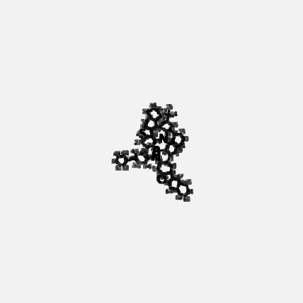 Cc1cc2c3c(c1)N(c1ccc(C(C)(C)C)cc1-c1ccccc1)c1c(ccc4sc5cc6ccccc6cc5c14)B3N(c1ccc(-c3ccccc3)cc1)c1cc3oc4cc5ccccc5cc4c3cc1-2